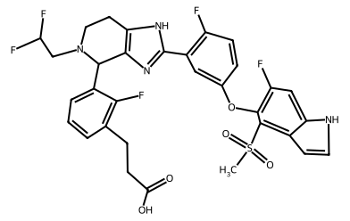 CS(=O)(=O)c1c(Oc2ccc(F)c(-c3nc4c([nH]3)CCN(CC(F)F)C4c3cccc(CCC(=O)O)c3F)c2)c(F)cc2[nH]ccc12